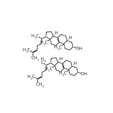 CC(C)=CCC[C@@H](C)[C@H]1CC[C@H]2C3=C(CC[C@]12C)[C@@]1(C)CC[C@H](O)C[C@@H]1CC3.CC(C)=CCC[C@@H](C)[C@H]1CC[C@H]2C3=C(CC[C@]12C)[C@@]1(C)CC[C@H](O)C[C@@H]1CC3